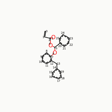 C=CC(=O)OC(Oc1ccccc1Cc1ccccc1)c1ccccc1